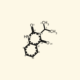 CC(C)n1c(=O)[nH]c2ccccc2c1=O